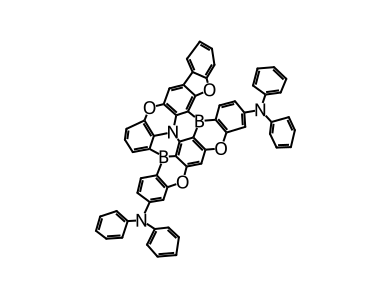 c1ccc(N(c2ccccc2)c2ccc3c(c2)Oc2cc4c5c6c2B3c2cccc3c2N6c2c(cc6c(oc7ccccc76)c2B5c2ccc(N(c5ccccc5)c5ccccc5)cc2O4)O3)cc1